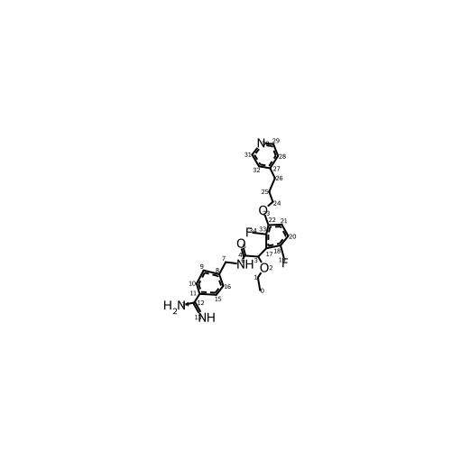 CCOC(C(=O)NCc1ccc(C(=N)N)cc1)c1c(F)ccc(OCCCc2ccncc2)c1F